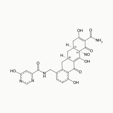 NC(=O)C1=C(O)C[C@@H]2C[C@@H]3Cc4c(CNC(=O)c5cc(O)ncn5)ccc(O)c4C(=O)C3=C(O)[C@]2(N=O)C1=O